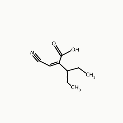 CCC(CC)/C(=C/C#N)C(=O)O